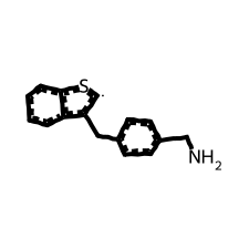 NCc1ccc(Cc2[c]sc3ccccc23)cc1